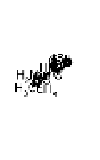 Cc1cc(N)c(NC(=O)CC[C@H](NC(=O)OC(C)(C)C)C(=O)OCc2ccccc2)cc1C